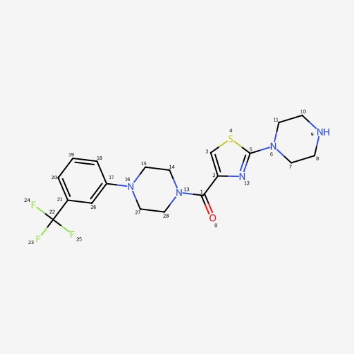 O=C(c1csc(N2CCNCC2)n1)N1CCN(c2cccc(C(F)(F)F)c2)CC1